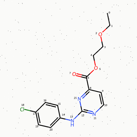 CCOCCOC(=O)c1ccnc(Nc2ccc(Cl)cc2)n1